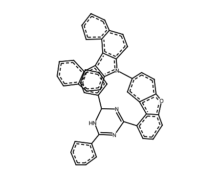 c1ccc(C2=NC(c3cccc4oc5ccc(-n6c7ccc8ccccc8c7c7c8ccccc8ccc76)cc5c34)=NC(c3ccccc3)N2)cc1